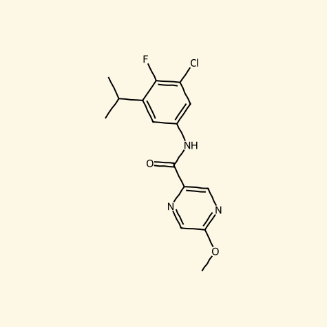 COc1cnc(C(=O)Nc2cc(Cl)c(F)c(C(C)C)c2)cn1